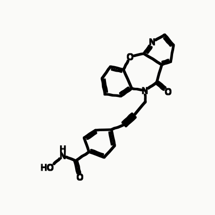 O=C(NO)c1ccc(C#CCN2C(=O)c3cccnc3Oc3ccccc32)cc1